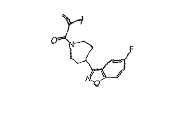 C=C(I)C(=O)N1CCC(c2noc3ccc(F)cc23)CC1